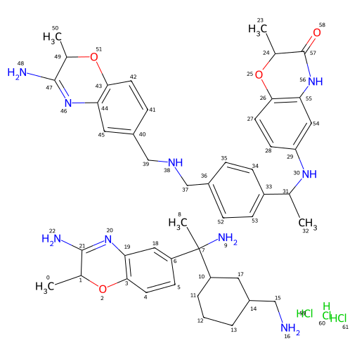 CC1Oc2ccc(C(C)(N)C3CCCC(CN)C3)cc2N=C1N.CC1Oc2ccc(NC(C)c3ccc(CNCc4ccc5c(c4)N=C(N)C(C)O5)cc3)cc2NC1=O.Cl.Cl.Cl